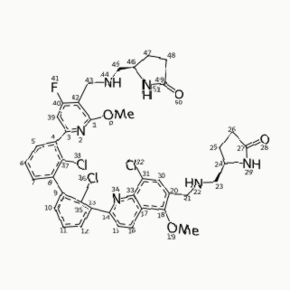 COc1nc(-c2cccc(-c3cccc(-c4ccc5c(OC)c(CNC[C@H]6CCC(=O)N6)cc(Cl)c5n4)c3Cl)c2Cl)cc(F)c1CNC[C@H]1CCC(=O)N1